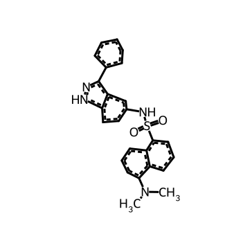 CN(C)c1cccc2c(S(=O)(=O)Nc3ccc4[nH]nc(-c5ccccc5)c4c3)cccc12